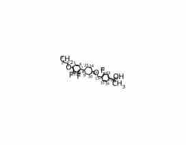 C=CCOc1ccc(C2CCC(OCc3ccc(C(C)O)cc3F)CC2)c(F)c1F